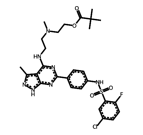 Cc1n[nH]c2nc(-c3ccc(NS(=O)(=O)c4cc(Cl)ccc4F)cc3)nc(NCCN(C)CCOC(=O)C(C)(C)C)c12